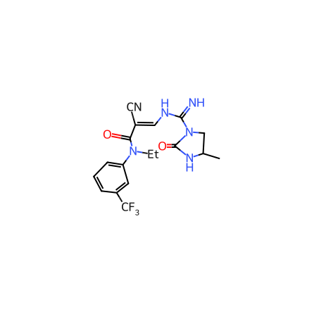 CCN(C(=O)C(C#N)=CNC(=N)N1CC(C)NC1=O)c1cccc(C(F)(F)F)c1